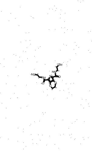 O=C(NCCS)c1sc(C(=O)NCCS)c2c1OCCO2